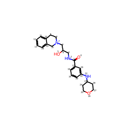 O=C(NCC(O)CN1CCc2ccccc2C1)c1cccc(NC2CCOCC2)c1